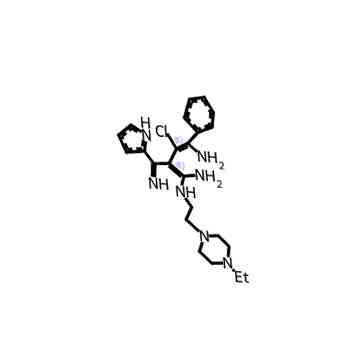 CCN1CCN(CCN/C(N)=C(C(=N)c2ccc[nH]2)/C(Cl)=C(\N)c2ccccc2)CC1